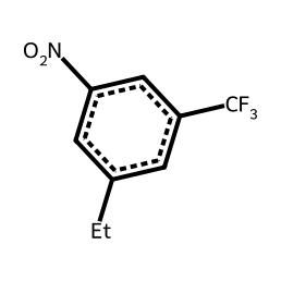 CCc1cc([N+](=O)[O-])cc(C(F)(F)F)c1